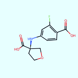 O=C(O)c1ccc(N[C@]2(C(=O)O)CCOC2)cc1F